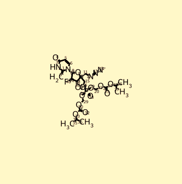 C=C1NC(=O)C=CN1[C@@H]1O[C@](CN=[N+]=[N-])(COP(=O)(OCOC(=O)OC(C)C)OCOC(=O)OC(C)C)[C@@H](O)[C@H]1F